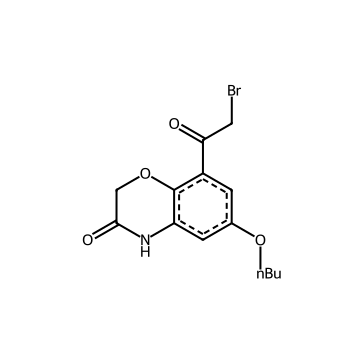 CCCCOc1cc2c(c(C(=O)CBr)c1)OCC(=O)N2